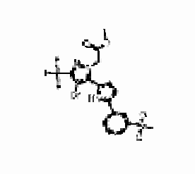 COC(=O)Cn1nc(C(F)(F)F)c(Br)c1-c1ccc(-c2cccc(S(C)(=O)=O)c2)[nH]1